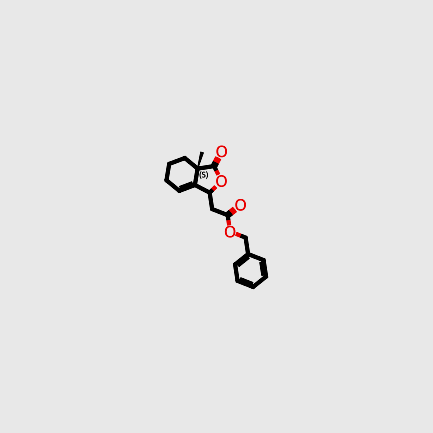 C[C@]12CCCC=C1C(CC(=O)OCc1ccccc1)OC2=O